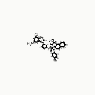 CC(C(=O)O)N(c1ccc2ccccc2c1)P(=O)(OC[C@@H]1C=C[C@H](n2cnc3c(Cl)nc(N)nc32)C1)Oc1ccc(Br)cc1